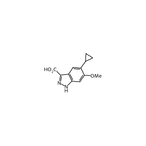 COc1cc2[nH]nc(C(=O)O)c2cc1C1CC1